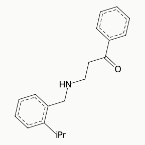 CC(C)c1ccccc1CNCCC(=O)c1ccccc1